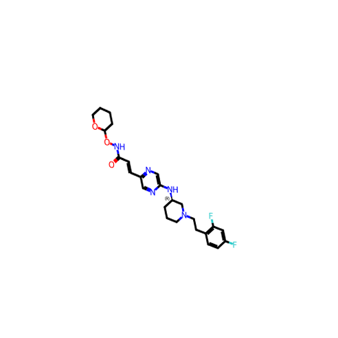 O=C(C=Cc1cnc(N[C@@H]2CCCN(CCc3ccc(F)cc3F)C2)cn1)NOC1CCCCO1